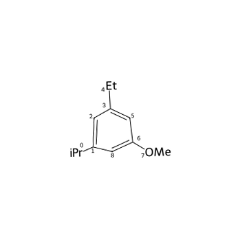 [CH2]C(C)c1cc(CC)cc(OC)c1